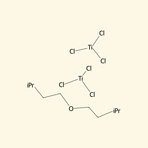 CC(C)CCOCCC(C)C.[Cl][Ti]([Cl])[Cl].[Cl][Ti]([Cl])[Cl]